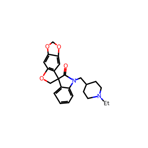 CCN1CCC(CN2C(=O)C3(COc4cc5c(cc43)OCO5)c3ccccc32)CC1